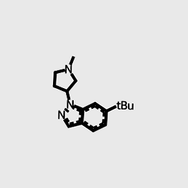 CN1CCC(n2ncc3ccc(C(C)(C)C)cc32)C1